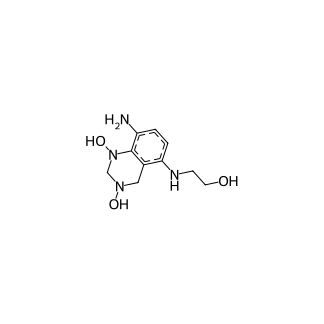 Nc1ccc(NCCO)c2c1N(O)CN(O)C2